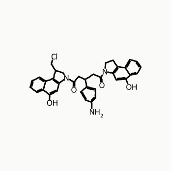 Nc1ccc(C(CC(=O)N2CCc3c2cc(O)c2ccccc32)CC(=O)N2CC(CCl)c3c2cc(O)c2ccccc32)cc1